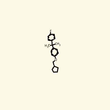 CC(C)(c1ccc(F)cc1)c1ccc(OCC2CCCC2)cc1